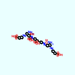 Nc1ccc(N=Nc2ccc3ccc(S(=O)(=O)O)cc3c2)c2ccc(N=Nc3ccc(/C=C/c4ccc(N=Nc5c(S(=O)(=O)O)cc6c(N=Nc7ccc8ccc(S(=O)(=O)O)cc8c7)ccc(N)c6c5O)cc4S(=O)(=O)O)cc3)c(O)c12